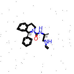 C=CNC[C@H](C)NC(=O)N1CCc2ccccc2[C@@H]1c1ccccc1